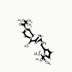 CC(c1nsc(NCC2CCCN2C(C)(C)C)n1)N1CCN(C(=O)C(C)(C)C)CC1